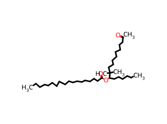 CCCCCCCCCCCCCCCCCC(=O)OC(CCCCCC)C(C)(C)CCCCCCCCC(C)=O